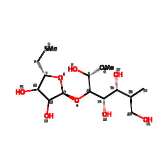 CO[C@@H](O)C(O[C@@H]1O[C@@H](CSC)C(O)C1O)[C@@H](O)[C@H](O)C(C)CO